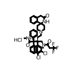 CNC(=O)C(c1ccccc1)(c1ccccc1)[C@](CCN1CCC2(CC1)NC(=O)Cc1ccccc12)(CN(C)C(=O)CC(F)(F)F)c1ccc(Cl)c(Cl)c1.Cl